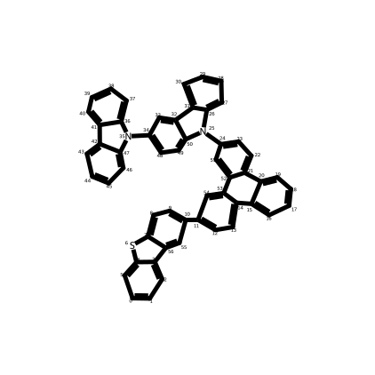 c1ccc2c(c1)sc1ccc(-c3ccc4c5ccccc5c5ccc(-n6c7ccccc7c7cc(-n8c9ccccc9c9ccccc98)ccc76)cc5c4c3)cc12